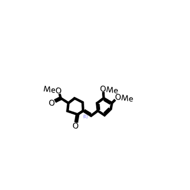 COC(=O)C1CC/C(=C\c2ccc(OC)c(OC)c2)C(=O)C1